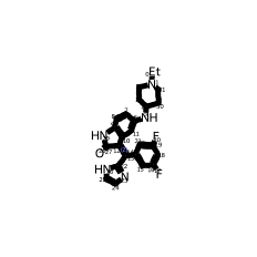 CCN1CCC(Nc2ccc3c(c2)/C(=C(\c2cc(F)cc(F)c2)c2ncc[nH]2)C(=O)N3)CC1